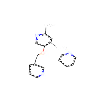 COc1cc(C=O)c(OCc2cccnc2)cn1.c1ccncc1